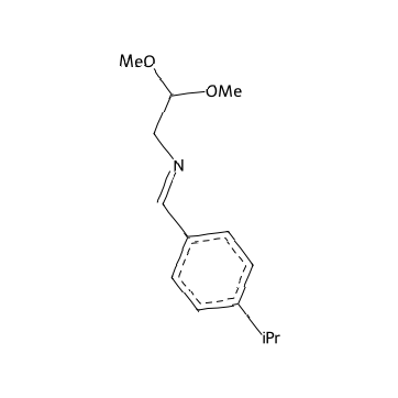 COC(CN=Cc1ccc(C(C)C)cc1)OC